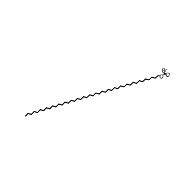 CCCCCCCCCCCCCCCCCCCCCCCCCCCCCCCCCCCCCCCCCCCCOC(=O)Br